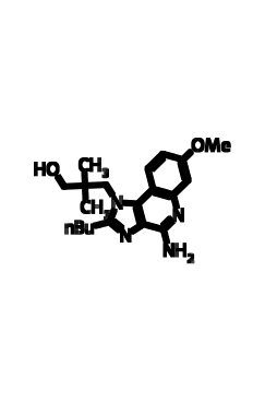 CCCCc1nc2c(N)nc3cc(OC)ccc3c2n1CC(C)(C)CO